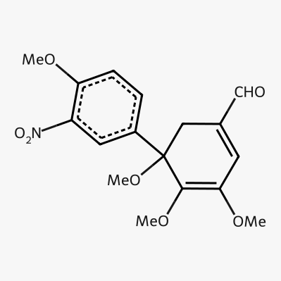 COC1=C(OC)C(OC)(c2ccc(OC)c([N+](=O)[O-])c2)CC(C=O)=C1